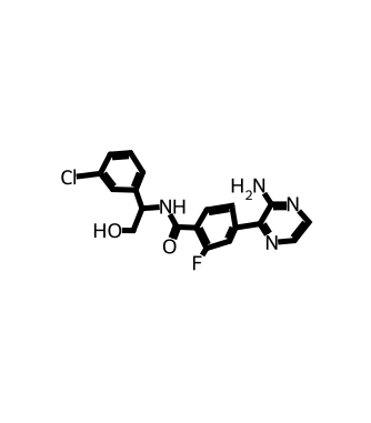 Nc1nccnc1-c1ccc(C(=O)NC(CO)c2cccc(Cl)c2)c(F)c1